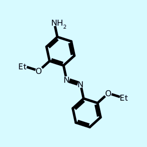 CCOc1ccccc1N=Nc1ccc(N)cc1OCC